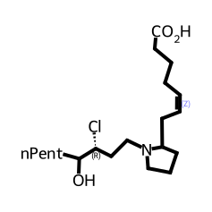 CCCCCC(O)[C@H](Cl)CCN1CCCC1C/C=C\CCCC(=O)O